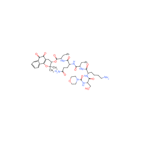 CC(C)CC(NC(=O)C(CCCCN)NC(=O)C(CO)NC(=O)N1CCOCC1)C(=O)NC(CCC(N)=O)C(=O)NC(CC(C)C)C(=O)OC1CC2=C(OC1(C)C)c1ccccc1C(=O)C2=O